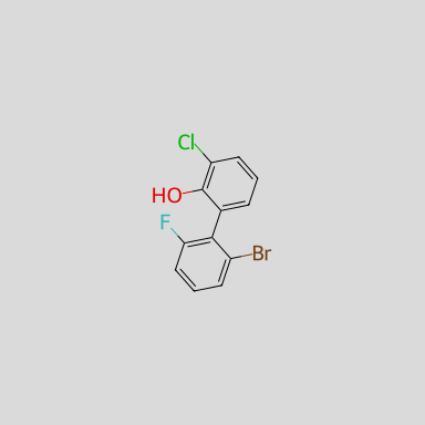 Oc1c(Cl)cccc1-c1c(F)cccc1Br